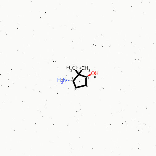 CC1(C)[C@@H](N)CC[C@@H]1O